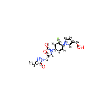 CC(=O)NC[C@H]1CN(c2ccc(-n3ccc(CO)c3)c(F)c2)C(=O)O1